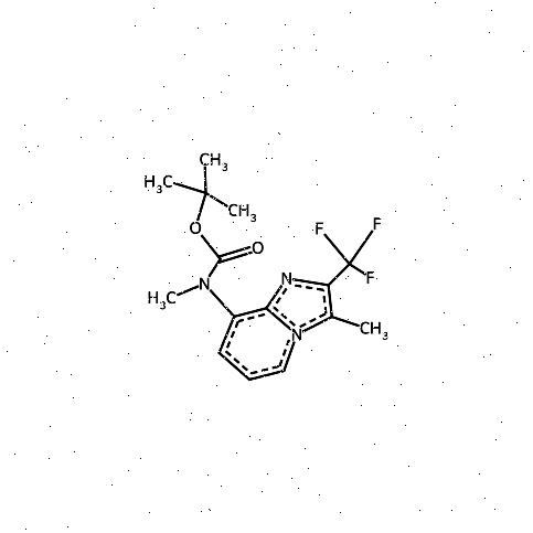 Cc1c(C(F)(F)F)nc2c(N(C)C(=O)OC(C)(C)C)cccn12